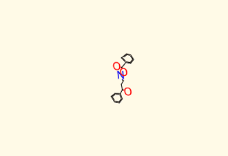 O=C(CC=NOC(=O)c1ccccc1)c1ccccc1